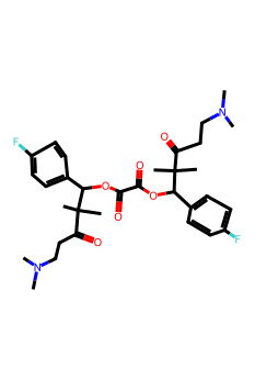 CN(C)CCC(=O)C(C)(C)C(OC(=O)C(=O)OC(c1ccc(F)cc1)C(C)(C)C(=O)CCN(C)C)c1ccc(F)cc1